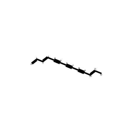 C=CC=CC#CC#CC#CC=CC